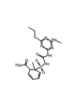 CCOc1nc(NC)nc(NC(=O)NS(=O)(=O)C2(C)C=CC=CC2C(=O)O)n1